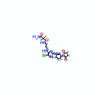 CC(C)(C(N)=O)C(=O)NCCCNc1nc(Nc2cccc(N3C(=O)CCC3=O)c2)ncc1Br